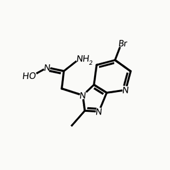 Cc1nc2ncc(Br)cc2n1C/C(N)=N\O